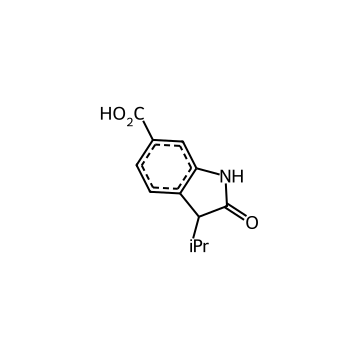 CC(C)C1C(=O)Nc2cc(C(=O)O)ccc21